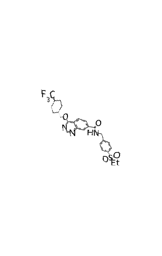 CCS(=O)(=O)c1ccc(CNC(=O)c2ccc3c(OC[C@H]4CC[C@H](C(F)(F)F)CC4)ncnc3c2)cc1